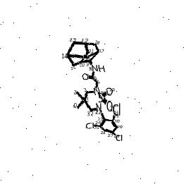 CC1(C)CN(CC(=O)NC2C3CC4CC(C3)CC2C4)S(=O)(=O)N(c2c(Cl)cc(Cl)cc2Cl)C1